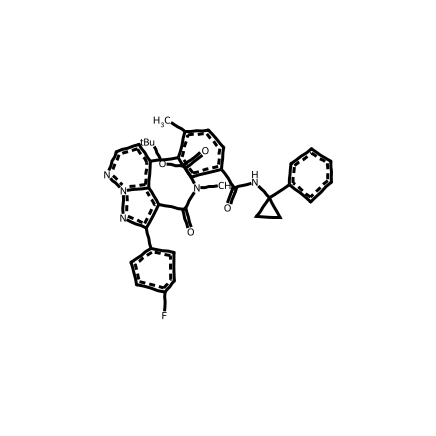 Cc1ccc(C(=O)NC2(c3ccccc3)CC2)cc1-c1ccnn2nc(-c3ccc(F)cc3)c(C(=O)N(C)C(=O)OC(C)(C)C)c12